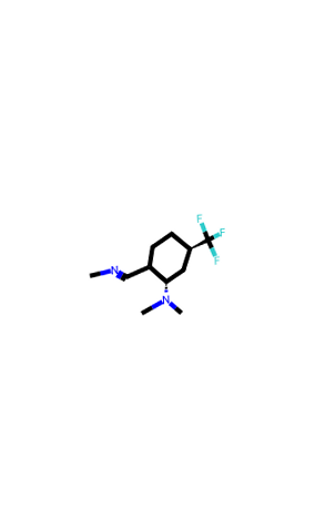 C/N=C/C1CC[C@@H](C(F)(F)F)C[C@@H]1N(C)C